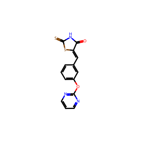 O=C1NC(=S)S/C1=C\c1cccc(Oc2ncccn2)c1